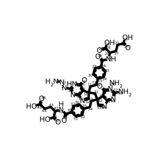 NN=Nc1nc2c(c(=O)[nH]1)C(CCc1ccc(C(=O)NC(CCC(=O)O)C(=O)O)cc1)(CC1(CCc3ccc(C(=O)NC(CCC(=O)O)C(=O)O)cc3)C=Nc3nc(N)n(N)c(=O)c31)C=N2